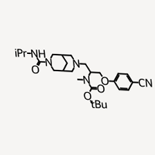 CC(C)NC(=O)N1CC2CC(CN(CC(COc3ccc(C#N)cc3)N(C)C(=O)OC(C)(C)C)C2)C1